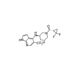 O=C(O)c1cnc2[nH]ccc2c1N[C@@H]1CCCN(C(=O)[C@@H]2CC2(F)F)C1